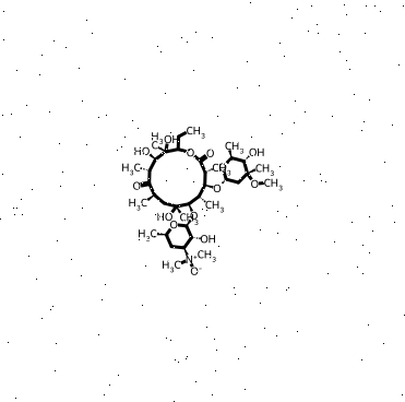 CCC1OC(=O)[C@H](C)[C@@H](O[C@H]2C[C@@](C)(OC)[C@@H](O)[C@H](C)O2)[C@H](C)[C@@H](O[C@@H]2O[C@H](C)C[C@H]([N+](C)(C)[O-])[C@H]2O)[C@](C)(O)C[C@@H](C)C(=O)[C@H](C)[C@@H](O)[C@]1(C)O